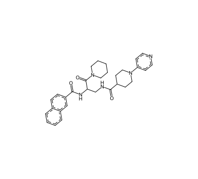 O=C(NC(CNC(=O)C1CCN(c2ccncc2)CC1)C(=O)N1CCCCC1)c1ccc2ccccc2c1